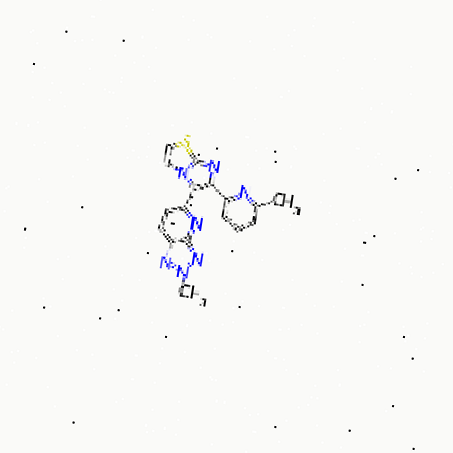 Cc1cccc(-c2nc3sccn3c2-c2ccc3nn(C)nc3n2)n1